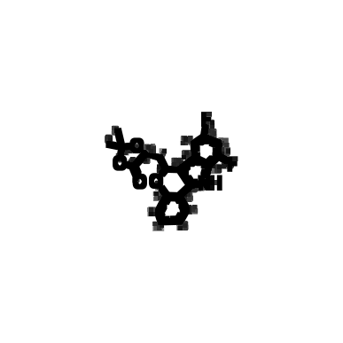 CC1(C)OC(=O)[C@H](CC2Oc3ccccc3-c3[nH]c4c(F)cc(F)cc4c32)O1